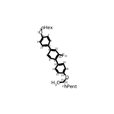 CCCCCCOc1ccc(-c2ccc(-c3ccc(O[C@@H](C)CCCCC)cc3)c(F)c2)cc1